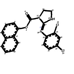 O=C(Oc1cccc2ccccc12)N1CCN/C1=N\c1ccc(Cl)cc1Cl